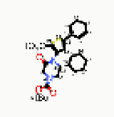 CC(C)(C)OC(=O)N1CC(=O)N(c2cc(C3=CCCC=C3)sc2C(=O)O)[C@H](C2CCCCC2)C1